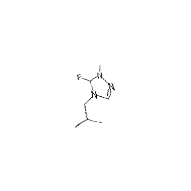 CC(C)CN1C=NN(C)C1F